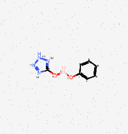 B(Oc1ccccc1)Oc1nn[nH]n1